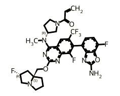 C=CC(=O)N1CC[C@@H](N(C)c2nc(OC[C@@]34CCCN3C[C@H](F)C4)nc3c(F)c(-c4ccc(F)c5oc(N)nc45)c(C(F)(F)F)cc23)C1